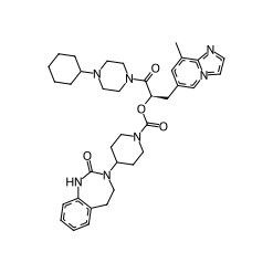 Cc1cc(C[C@@H](OC(=O)N2CCC(N3CCc4ccccc4NC3=O)CC2)C(=O)N2CCN(C3CCCCC3)CC2)cn2ccnc12